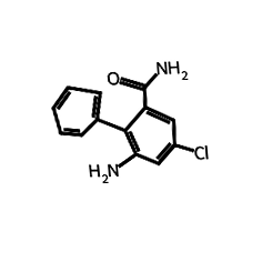 NC(=O)c1cc(Cl)cc(N)c1-c1ccccc1